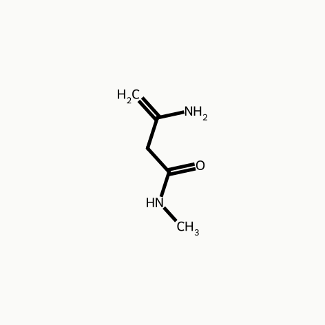 C=C(N)CC(=O)NC